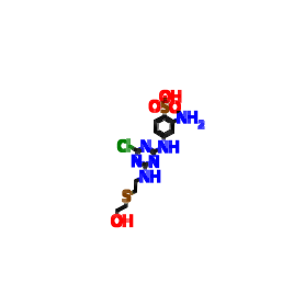 Nc1cc(Nc2nc(Cl)nc(NCCSCCO)n2)ccc1S(=O)(=O)O